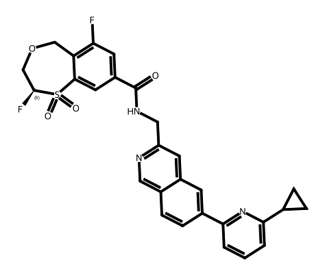 O=C(NCc1cc2cc(-c3cccc(C4CC4)n3)ccc2cn1)c1cc(F)c2c(c1)S(=O)(=O)[C@@H](F)COC2